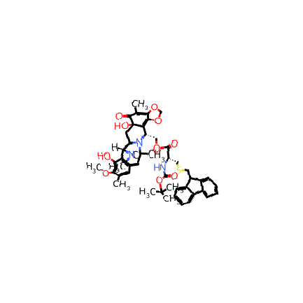 COc1c(C)cc2c(c1O)[C@@H]1C3CC4(O)C(=O)C(C)=C5OCOC5=C4[C@H](COC(=O)[C@H](CSCC4c5ccccc5-c5ccccc54)NC(=O)OC(C)(C)C)N3C(C)(C2)CN1C